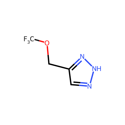 FC(F)(F)OCc1cn[nH]n1